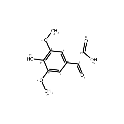 COc1cc(C=O)cc(OC)c1O.O=CO